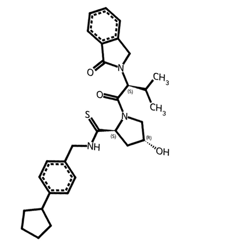 CC(C)[C@@H](C(=O)N1C[C@H](O)C[C@H]1C(=S)NCc1ccc(C2CCCC2)cc1)N1Cc2ccccc2C1=O